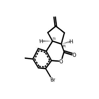 C=C1C[C@@H]2c3cc(C)cc(Br)c3OC(=O)[C@@H]2C1